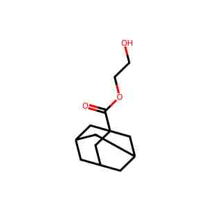 O=C(OCCO)C12CC3CC(CC(C3)C1)C2